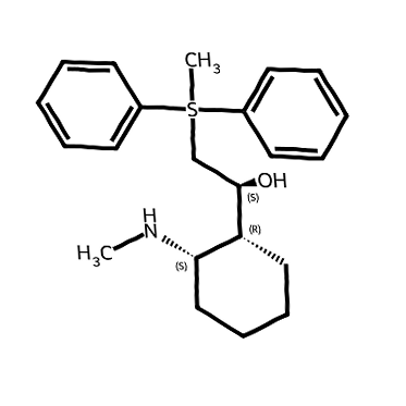 CN[C@H]1CCCC[C@H]1[C@H](O)CS(C)(c1ccccc1)c1ccccc1